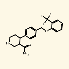 NC(=O)C1CNCCC1c1ccc(COc2ccccc2C(F)(F)F)cc1